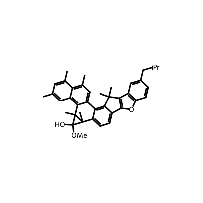 COC1(O)C2(C)c3ccc4c(c3-c3cc(C)c5c(C)cc(C)cc5c3C12C)C(C)(C)c1c-4oc2ccc(CC(C)C)cc12